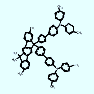 CC1=CC=C(N(c2ccc(C)cc2)c2ccc(-c3ccc(C4(c5ccc(-c6ccc(N(c7ccc(C)cc7)c7ccc(C)cc7)cc6)cc5)c5cc(C)ccc5-c5cc6c(cc54)-c4ccc(C)cc4C6(C)C)cc3)cc2)CC1